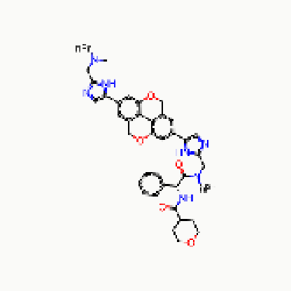 CCCN(C)Cc1ncc(-c2cc3c4c(c2)OCc2cc(-c5cnc(CN(CCC)C(=O)[C@H](NC(=O)C6CCOCC6)c6ccccc6)[nH]5)cc(c2-4)OC3)[nH]1